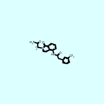 C[C@H](C(N)=O)n1ccc2c(NC(=O)Cc3cccc(C(F)(F)F)c3)cccc2c1=O